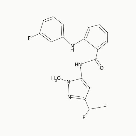 Cn1nc(C(F)F)cc1NC(=O)c1ccccc1Nc1cccc(F)c1